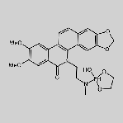 COc1cc2c(=O)n(CCN(C)[PH]3(O)OCCO3)c3c4cc5c(cc4ccc3c2cc1OC)OCO5